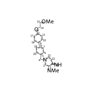 CNc1cn(Cc2ccc(-c3ccc(OCCOC)cc3)cc2)ccc1=N